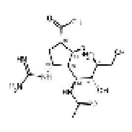 CC(=O)N[C@H]([C@@H](O)[C@@H](O)CO)[C@@H]1[C@H](N)[C@@H](C(=O)O)C[C@H]1NC(=N)N